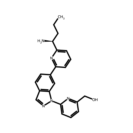 CCC[C@H](N)c1cccc(-c2ccc3cnn(-c4cccc(CO)n4)c3c2)n1